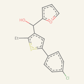 CCc1sc(-c2ccc(Cl)cc2)cc1C(O)c1ccco1